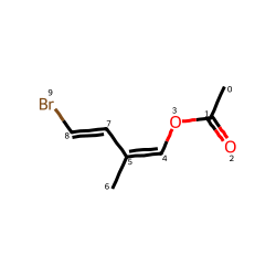 CC(=O)OC=C(C)C=CBr